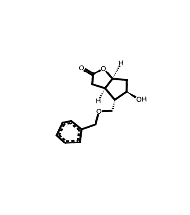 O=C1C[C@@H]2[C@@H](COCc3ccccc3)[C@H](O)C[C@@H]2O1